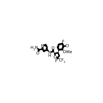 COc1c([C@H]2C[C@@](F)(C(F)(F)F)O[C@H]2C(=O)Nc2ccnc(C(N)=O)c2)ccc(F)c1Cl